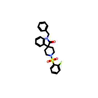 O=C(NCc1ccccc1)C1(c2ccccc2)CCN(S(=O)(=O)c2ccccc2F)CC1